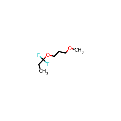 CCC(F)(F)OCCCOC